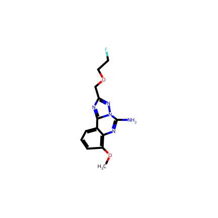 COc1cccc2c1nc(N)n1nc(COCCF)nc21